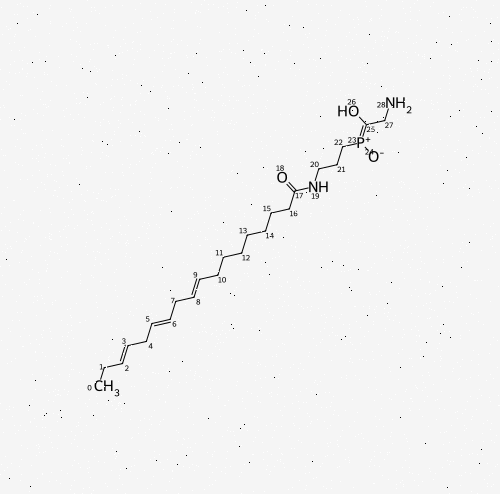 CCC=CCC=CCC=CCCCCCCCC(=O)NCCC/[P+]([O-])=C(\O)CN